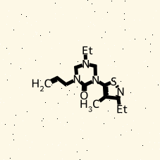 C=CCN1CN(CC)CN(c2snc(CC)c2C)C1=O